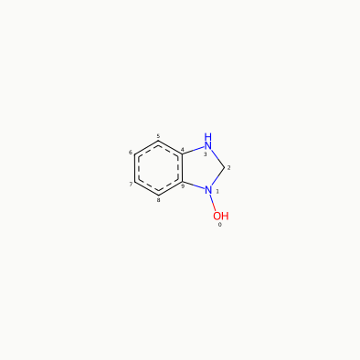 ON1CNc2ccccc21